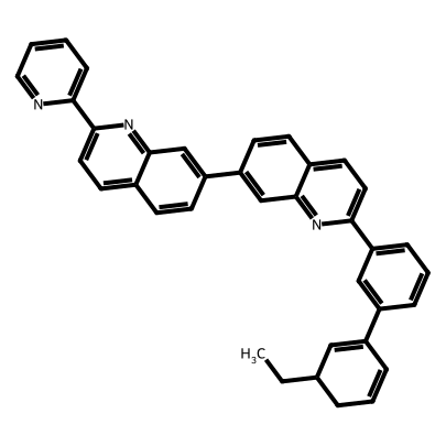 CCC1C=C(c2cccc(-c3ccc4ccc(-c5ccc6ccc(-c7ccccn7)nc6c5)cc4n3)c2)C=CC1